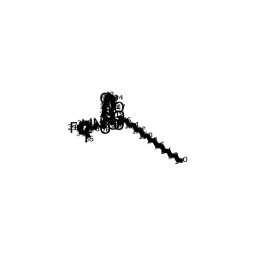 CCCCCCCCCCCCCCCCCC(=O)Oc1c2n(cc(C(=O)NCc3ccc(F)cc3F)c1=O)CC1OC[C@H](C)N1C2=O